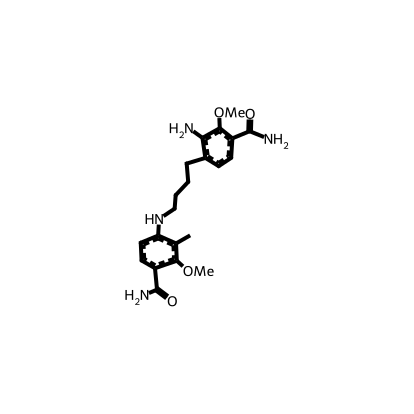 COc1c(C(N)=O)ccc(NCCCCc2ccc(C(N)=O)c(OC)c2N)c1C